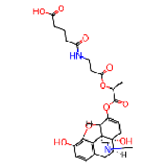 C[C@H](OC(=O)CCNC(=O)CCCC(=O)O)C(=O)OC1=CC[C@@]2(O)[C@H]3Cc4ccc(O)c5c4[C@@]2(CCN3C)[C@H]1O5